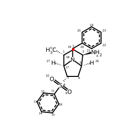 C[C@@H]1C[C@@H](N)[C@H]2C[C@H](S(=O)(=O)c3ccccc3)[C@@H]1N2Cc1ccccc1